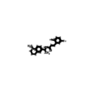 CC(NC(=O)/C=C/c1cc(F)ccc1F)c1ccc2c(c1)CCCN2C